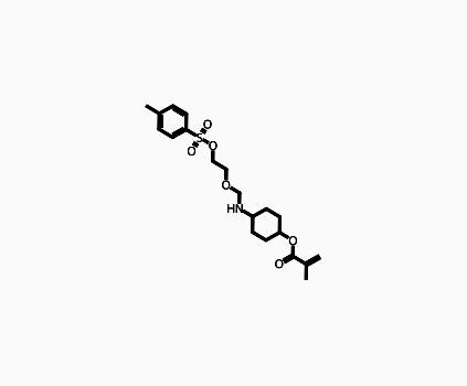 C=C(C)C(=O)OC1CCC(NCOCCOS(=O)(=O)c2ccc(C)cc2)CC1